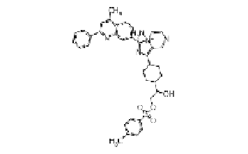 Cc1ccc(S(=O)(=O)OCC(O)C2CCC(C3=C4C=NC=C[N+]4(N)C(c4ccc5c(C)cc(-c6ccccc6)nc5c4)=N3)CC2)cc1